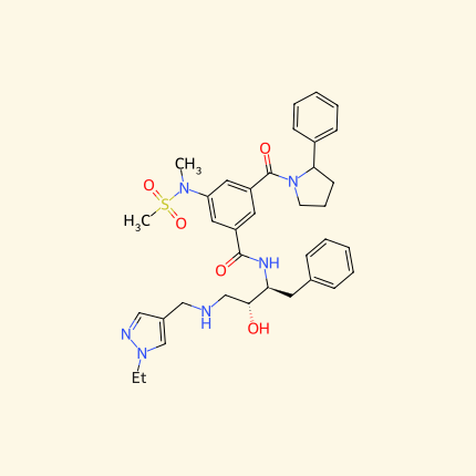 CCn1cc(CNC[C@@H](O)[C@H](Cc2ccccc2)NC(=O)c2cc(C(=O)N3CCCC3c3ccccc3)cc(N(C)S(C)(=O)=O)c2)cn1